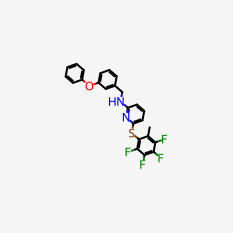 Cc1c(F)c(F)c(F)c(F)c1Sc1cccc(NCc2cccc(Oc3ccccc3)c2)n1